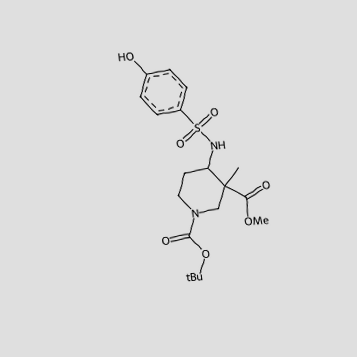 COC(=O)C1(C)CN(C(=O)OC(C)(C)C)CCC1NS(=O)(=O)c1ccc(O)cc1